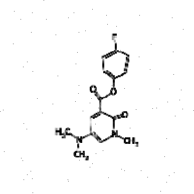 CN(C)c1cc(C(=O)Oc2ccc(F)cc2)c(=O)n(C)c1